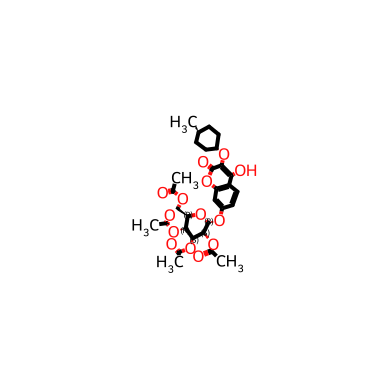 CC(=O)OC[C@H]1O[C@H](Oc2ccc3c(O)c(O[C@H]4CC[C@@H](C)CC4)c(=O)oc3c2)[C@@H](OC(C)=O)[C@@H](OC(C)=O)[C@@H]1OC(C)=O